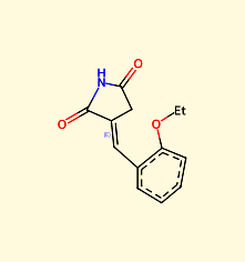 CCOc1ccccc1/C=C1\CC(=O)NC1=O